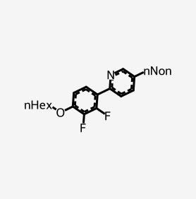 CCCCCCCCCc1ccc(-c2ccc(OCCCCCC)c(F)c2F)nc1